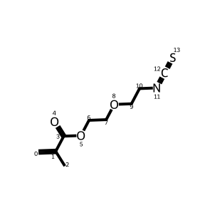 C=C(C)C(=O)OCCOCCN=C=S